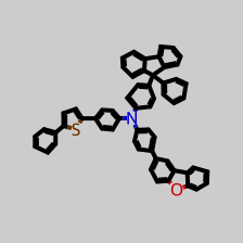 c1ccc(-c2ccc(-c3ccc(N(c4ccc(-c5ccc6oc7ccccc7c6c5)cc4)c4ccc(C5(c6ccccc6)c6ccccc6-c6ccccc65)cc4)cc3)s2)cc1